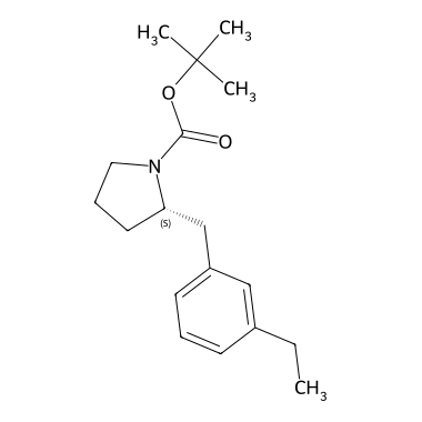 CCc1cccc(C[C@@H]2CCCN2C(=O)OC(C)(C)C)c1